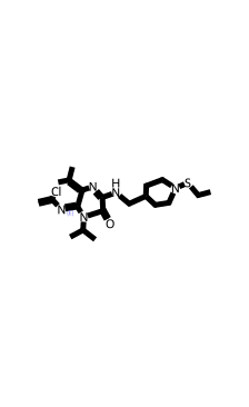 C=C(Cl)/N=C1\C(=C(C)C)N=C(NCC2CCN(SCC)CC2)C(=O)N1C(C)C